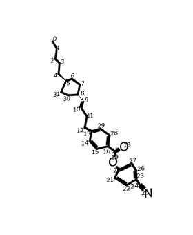 CCCCC[C@H]1CC[C@H](C=CCCc2ccc(C(=O)Oc3ccc(C#N)cc3)cc2)CC1